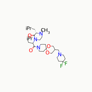 CC(C)CC(C(=O)N1CCC2(CC1)OCC(CN1CCC(F)(F)CC1)CO2)N1CCN(C)[C@@H](CC(C)C)C1=O